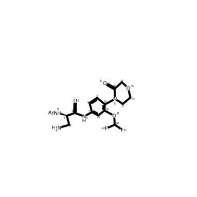 CC(=O)N[C@H](CN)C(=O)Nc1ccc(N2CCOCC2=O)c(OC(F)F)c1